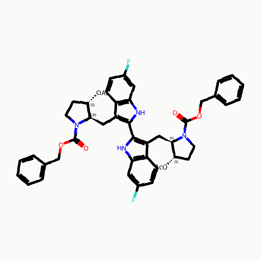 CC(=O)O[C@H]1CCN(C(=O)OCc2ccccc2)[C@@H]1Cc1c(-c2[nH]c3cc(F)ccc3c2C[C@@H]2[C@@H](OC(C)=O)CCN2C(=O)OCc2ccccc2)[nH]c2cc(F)ccc12